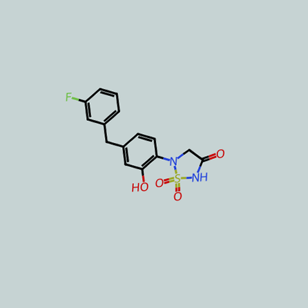 O=C1CN(c2ccc(Cc3cccc(F)c3)cc2O)S(=O)(=O)N1